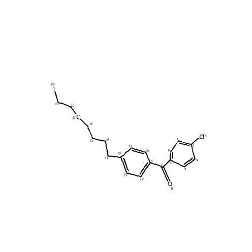 O=C(c1ccc(Cl)cc1)c1ccc(CCCCCCCI)cc1